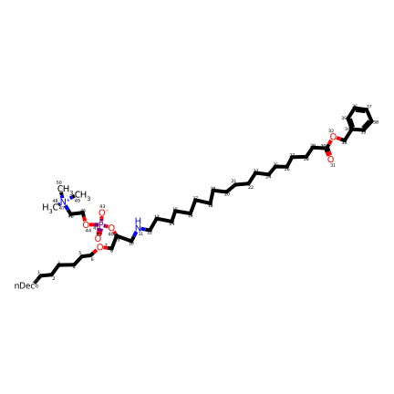 CCCCCCCCCCCCCCCCOCC(CNCCCCCCCCCCCCCCCCCCC(=O)OCc1ccccc1)OP(=O)([O-])OCC[N+](C)(C)C